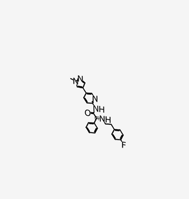 Cn1cc(-c2ccc(NC(=O)[C@H](NCCc3ccc(F)cc3)c3ccccc3)nc2)cn1